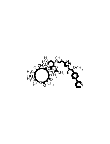 CO[C@H](c1ccc(-c2cccnc2)cc1)[C@@H](CF)n1cc(CCN(C)[C@H]2C[C@@H](C)O[C@@H](O[C@@H]3[C@@H](C)C(=O)[C@@H](C)C(=O)O[C@H](I)[C@@](C)(O)[C@H](O)[C@@H](C)C(=O)[C@H](C)C[C@@]3(C)OC)[C@@H]2OC(C)=O)nn1